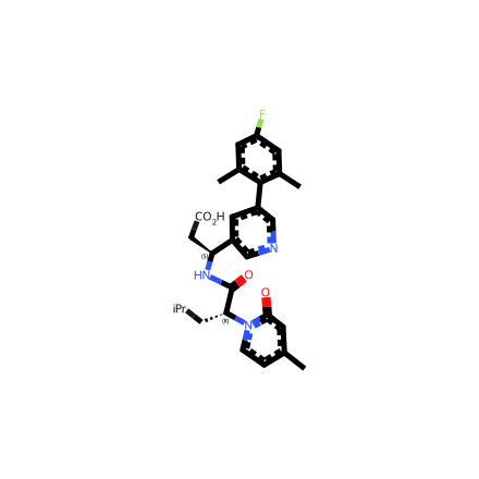 Cc1ccn([C@H](CC(C)C)C(=O)N[C@@H](CC(=O)O)c2cncc(-c3c(C)cc(F)cc3C)c2)c(=O)c1